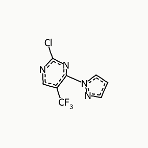 FC(F)(F)c1cnc(Cl)nc1-n1cccn1